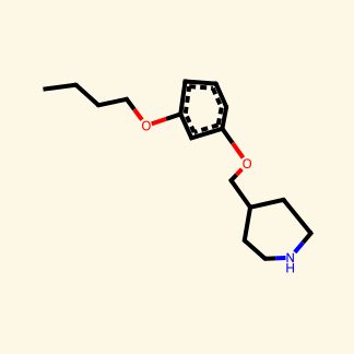 CCCCOc1cccc(OCC2CCNCC2)c1